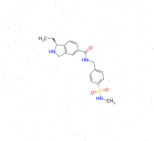 CC[C@@H]1NCc2cc(C(=O)NCc3ccc(S(=O)(=O)NC)cc3)ccc21